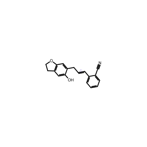 N#Cc1ccccc1/C=C/Cc1cc2c(cc1O)CCO2